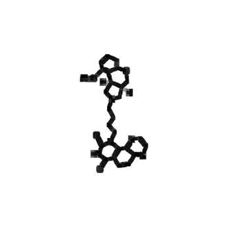 COc1cccc2c1[C@@H]1CN(CCCCn3c(=O)[nH]c(=O)c4ccc5nccnc5c43)C[C@@H]1CO2